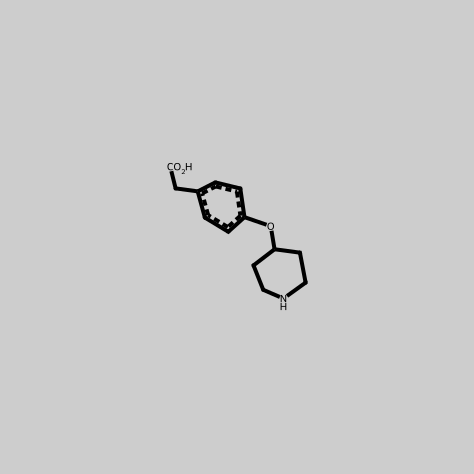 O=C(O)Cc1ccc(OC2CCNCC2)cc1